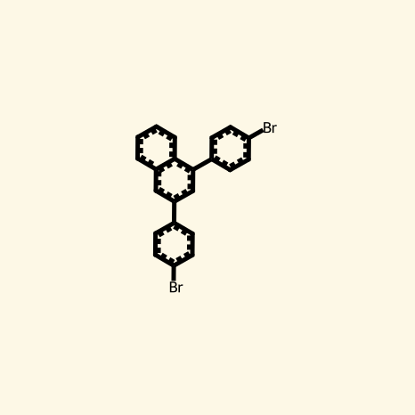 Brc1ccc(-c2cc(-c3ccc(Br)cc3)c3ccccc3c2)cc1